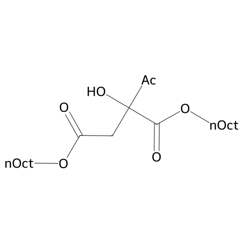 CCCCCCCCOC(=O)CC(O)(C(C)=O)C(=O)OCCCCCCCC